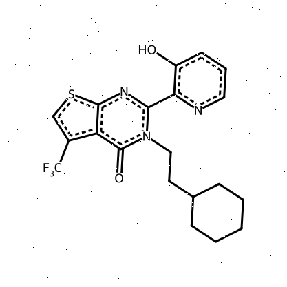 O=c1c2c(C(F)(F)F)csc2nc(-c2ncccc2O)n1CCC1CCCCC1